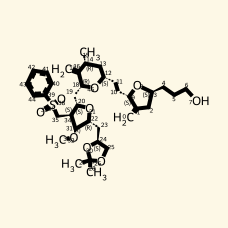 C=C1C[C@H](CCCO)O[C@H]1CC[C@H]1C[C@@H](C)C(=C)[C@@H](C[C@@H]2O[C@H](C[C@H]3COC(C)(C)O3)[C@H](OC)[C@H]2CS(=O)(=O)c2ccccc2)O1